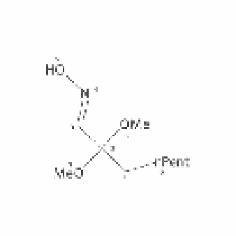 CCCCCCC(C=NO)(OC)OC